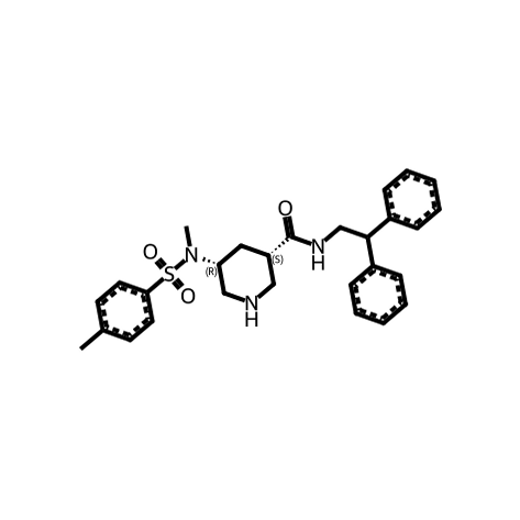 Cc1ccc(S(=O)(=O)N(C)[C@H]2CNC[C@@H](C(=O)NCC(c3ccccc3)c3ccccc3)C2)cc1